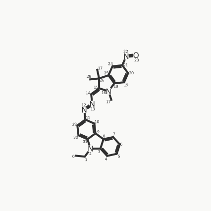 CCn1c2ccccc2c2cc(N=NC=C3N(C)c4ccc(N=O)cc4C3(C)C)ccc21